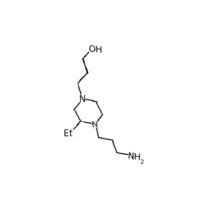 CCC1CN(CCCO)CCN1CCCN